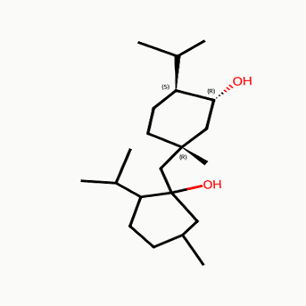 CC1CCC(C(C)C)C(O)(C[C@]2(C)CC[C@@H](C(C)C)[C@H](O)C2)C1